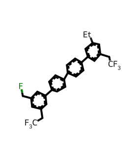 CCc1cc(CC(F)(F)F)cc(-c2ccc(-c3ccc(-c4cc(CF)cc(CC(F)(F)F)c4)cc3)cc2)c1